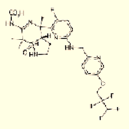 CC1(C)C(NC(=O)O)=N[C@](C)(c2nc(NCc3ccc(OCC(F)(F)C(F)F)cn3)ccc2F)[C@@H]2CCN[SH]21=O